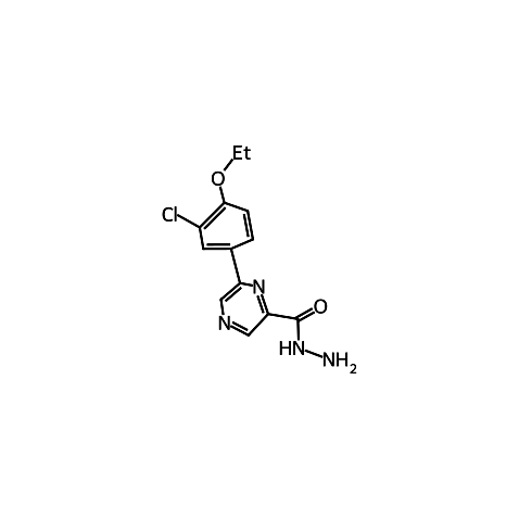 CCOc1ccc(-c2cncc(C(=O)NN)n2)cc1Cl